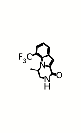 C[C@@H]1CNC(=O)c2cc3cccc(C(F)(F)F)c3n21